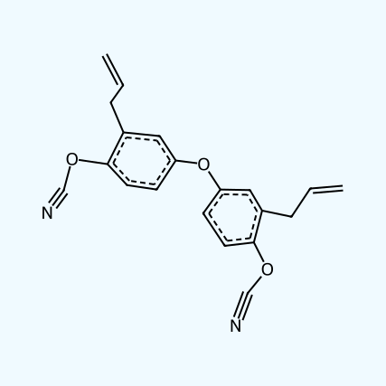 C=CCc1cc(Oc2ccc(OC#N)c(CC=C)c2)ccc1OC#N